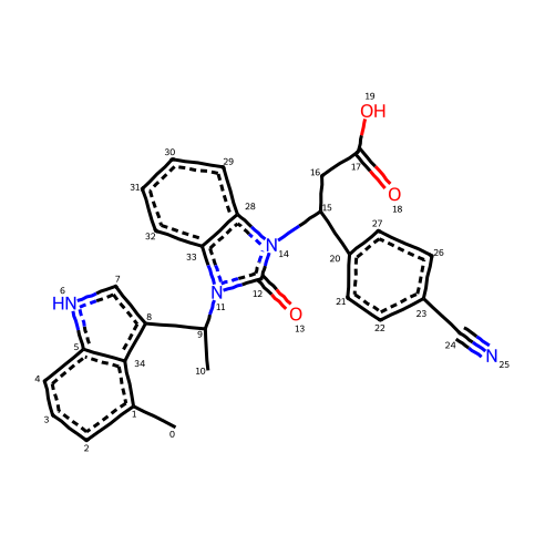 Cc1cccc2[nH]cc(C(C)n3c(=O)n(C(CC(=O)O)c4ccc(C#N)cc4)c4ccccc43)c12